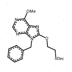 CCCCCCCCCCCCOc1nc2c(OC)ncnc2n1Cc1ccccc1